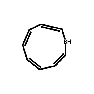 B1C=CC=CC=CC=C1